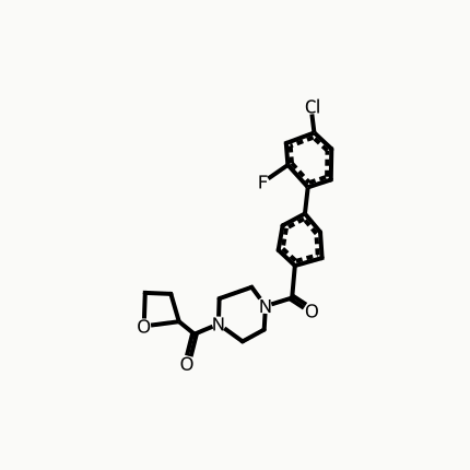 O=C(c1ccc(-c2ccc(Cl)cc2F)cc1)N1CCN(C(=O)C2CCO2)CC1